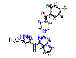 Cc1cc(Nc2nc(N3CCN(C(=O)c4ccc(F)cc4F)CC3)nn3cccc23)n[nH]1